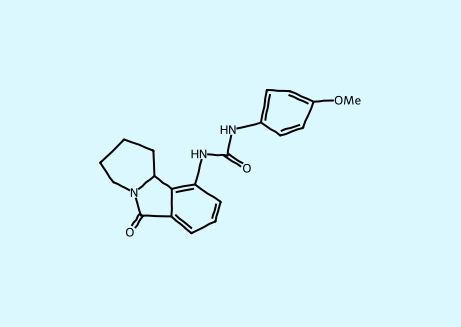 COc1ccc(NC(=O)Nc2cccc3c2C2CCCCN2C3=O)cc1